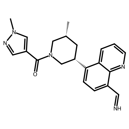 C[C@@H]1C[C@H](c2ccc(C=N)c3ncccc23)CN(C(=O)c2cnn(C)c2)C1